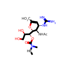 CBN(C)C(=O)O[C@@H]([C@@H]1OC(C(=O)O)=C[C@H](NC(=N)N)[C@H]1NC(C)=O)[C@H](O)CO